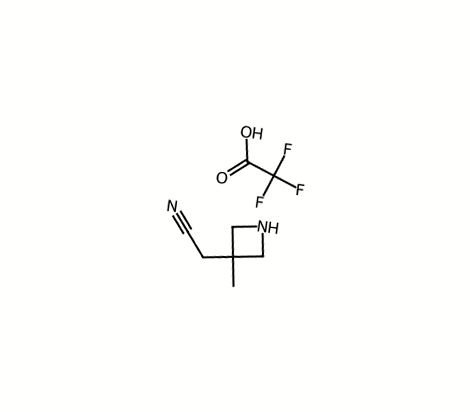 CC1(CC#N)CNC1.O=C(O)C(F)(F)F